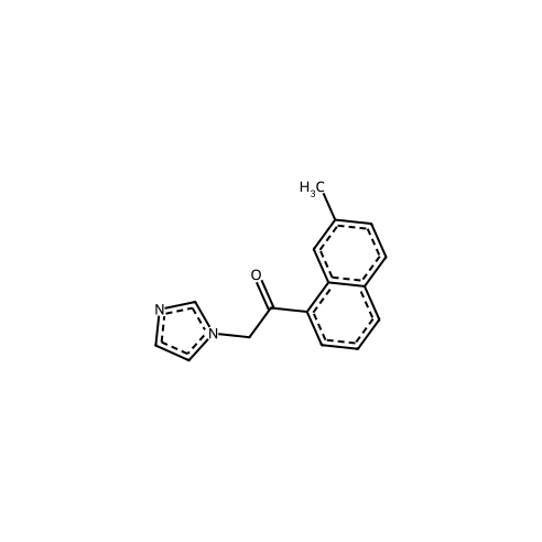 Cc1ccc2cccc(C(=O)Cn3ccnc3)c2c1